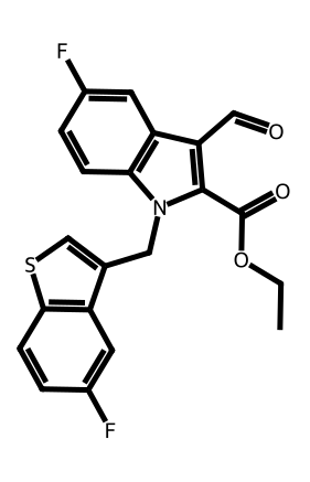 CCOC(=O)c1c(C=O)c2cc(F)ccc2n1Cc1csc2ccc(F)cc12